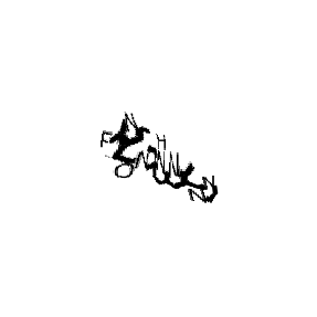 Cc1cc([C@@H](C)C(=O)N2CC[C@@]3(CCc4cc(-c5ncccn5)c(C)nc4N3)C2)c(F)cn1